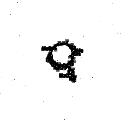 COC1CC(C[C@@H](C)[C@@H]2CC(=O)C(C)/C=C(\C)[C@@H](O)C(OC)C(=O)C(C)C[C@H](C)/C=C/C=C/C=C(\C)[C@@H](OC)C[C@@H]3CCC(C)C(O)(O3)C(=O)C(=O)N3CCCCC3C(=O)O2)CCC1n1cnnn1